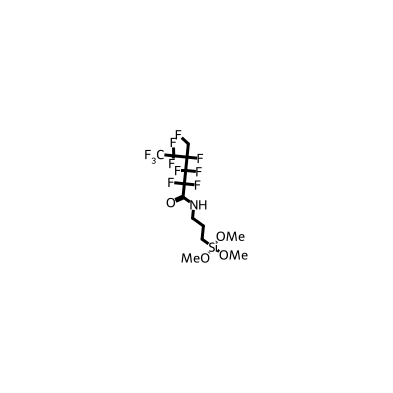 CO[Si](CCCNC(=O)C(F)(F)C(F)(F)C(F)(CF)C(F)(F)C(F)(F)F)(OC)OC